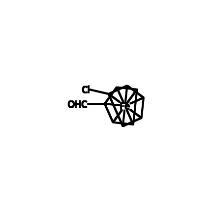 O=C[C]12[CH]3[CH]4[CH]5[CH]1[Fe]45321678[CH]2[CH]1[CH]6[C]7(Cl)[CH]28